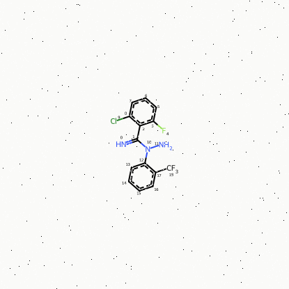 N=C(c1c(F)cccc1Cl)N(N)c1ccccc1C(F)(F)F